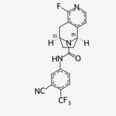 N#Cc1cc(NC(=O)N2[C@H]3CC[C@@H]2c2ccnc(F)c2C3)ccc1C(F)(F)F